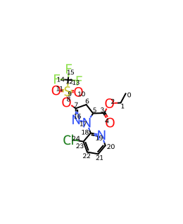 CCOC(=O)C1CC(OS(=O)(=O)C(F)(F)F)=NN1c1ncccc1Cl